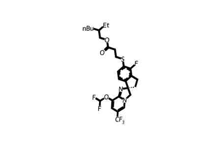 CCCCC(CC)COC(=O)CCSc1ccc2c(c1F)CC[C@@]21CN2C=C(C(F)(F)F)C=C(OC(F)F)C2=N1